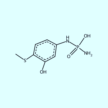 CSc1ccc(NP(N)(=O)O)cc1O